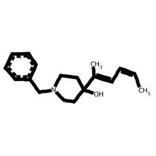 C/C=C\C=C(/C)C1(O)CCN(Cc2ccccc2)CC1